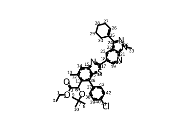 CCOC(=O)[C@@H](OC(C)(C)C)c1c(C)cc2nc(-c3cnc4c(c3)c(C3=CCCCC3)nn4C)sc2c1-c1ccc(Cl)cc1